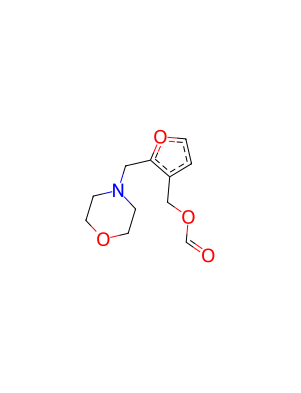 O=COCc1ccoc1CN1CCOCC1